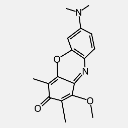 COc1c2nc3ccc(N(C)C)cc3oc-2c(C)c(=O)c1C